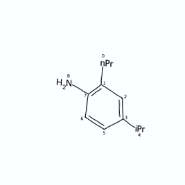 CCCc1cc(C(C)C)ccc1N